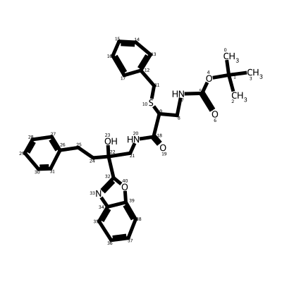 CC(C)(C)OC(=O)NCC(SCc1ccccc1)C(=O)NCC(O)(CCc1ccccc1)c1nc2ccccc2o1